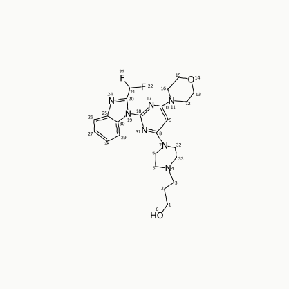 OCCCN1CCN(c2cc(N3CCOCC3)nc(-n3c(C(F)F)nc4ccccc43)n2)CC1